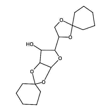 OC1C(C2COC3(CCCCC3)O2)OC2OC3(CCCCC3)OC21